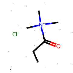 CCC(=O)[N+](C)(C)C.[Cl-]